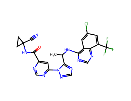 CC(Nc1ncnc2c(C(F)(F)F)cc(Cl)cc12)c1ncnn1-c1cc(C(=O)NC2(C#N)CC2)ncn1